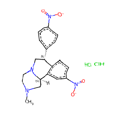 CN1CCN2C[C@H](c3ccc([N+](=O)[O-])cc3)c3ccc([N+](=O)[O-])cc3[C@H]2C1.Cl.Cl